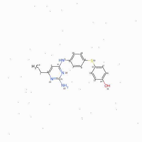 CCc1cc(Nc2ccc(Sc3ccc(O)cc3)cc2)nc(N)n1